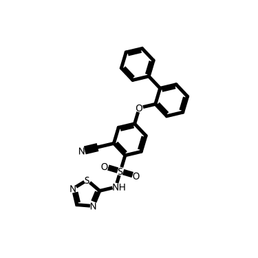 N#Cc1cc(Oc2ccccc2-c2ccccc2)ccc1S(=O)(=O)Nc1ncns1